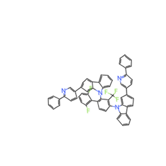 Fc1cccc(F)c1-c1ccc(-n2c3ccccc3c3ccc(-c4ccc(-c5ccccc5)nc4)cc32)c(C(F)(F)F)c1-n1c2ccccc2c2ccc(-c3ccc(-c4ccccc4)nc3)cc21